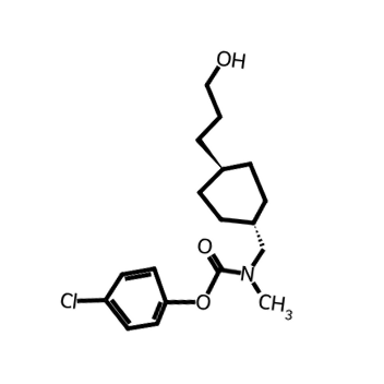 CN(C[C@H]1CC[C@H](CCCO)CC1)C(=O)Oc1ccc(Cl)cc1